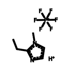 CCc1nccn1C.F[P-](F)(F)(F)(F)F.[H+]